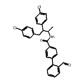 CC(NC(=O)c1ccc(-c2ccccc2C=O)cc1)C(Cc1ccc(Cl)cc1)c1ccc(Cl)cc1